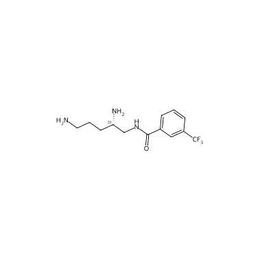 NCCC[C@H](N)CNC(=O)c1cccc(C(F)(F)F)c1